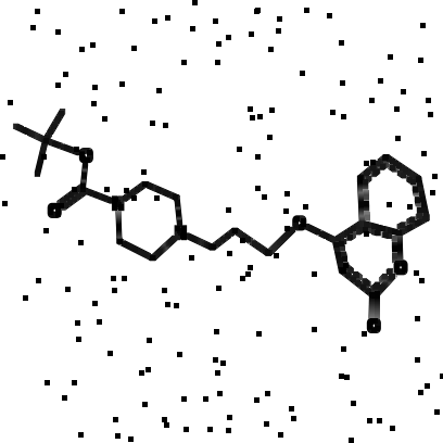 CC(C)(C)OC(=O)N1CCN(CCCOc2cc(=O)oc3ccccc23)CC1